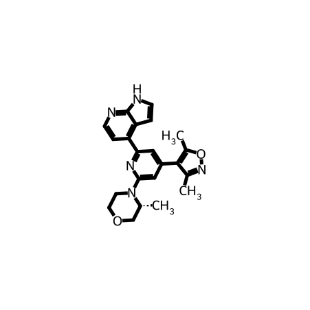 Cc1noc(C)c1-c1cc(-c2ccnc3[nH]ccc23)nc(N2CCOC[C@H]2C)c1